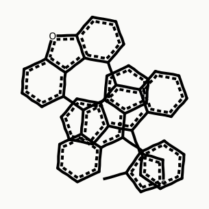 Cc1cscc1-c1c2ccccc2c(-c2cccc3oc4cccc(-c5c6ccccc6c(-c6ccccc6)c6ccccc56)c4c23)c2ccccc12